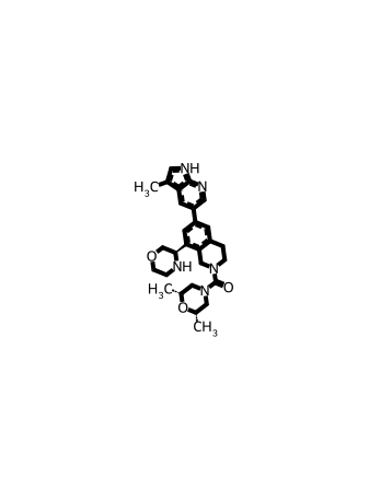 Cc1c[nH]c2ncc(-c3cc4c(c([C@@H]5COCCN5)c3)CN(C(=O)N3C[C@@H](C)O[C@@H](C)C3)CC4)cc12